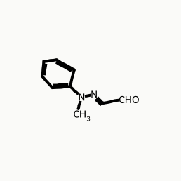 CN(N=CC=O)c1ccccc1